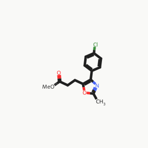 COC(=O)CCc1oc(C)nc1-c1ccc(Cl)cc1